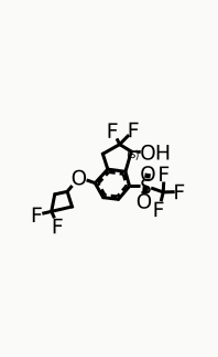 O=S(=O)(c1ccc(OC2CC(F)(F)C2)c2c1[C@H](O)C(F)(F)C2)C(F)(F)F